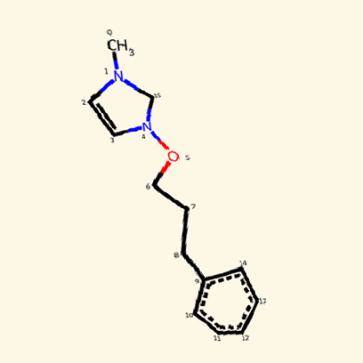 CN1C=CN(OCCCc2ccccc2)C1